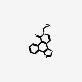 O=c1c2c3ccccc3c3ncsc3c2ccn1CO